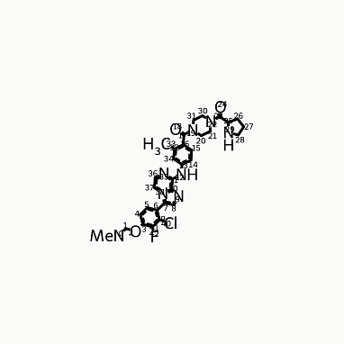 CNCOc1ccc(-c2cnc3c(Nc4ccc(C(=O)N5CCN(C(=O)C6CCCN6)CC5)c(C)c4)nccn23)c(Cl)c1F